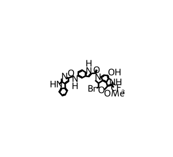 COC(=O)c1c(C(F)(F)F)[nH]c2c(O)cc3c(c12)C(CBr)CN3C(=O)c1cc2cc(NC(=O)c3cc4c(cn3)[nH]c3ccccc34)ccc2[nH]1